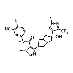 Cn1cc(C2(O)CC3CC(c4ncn(C)c4C(=O)Nc4ccc(F)c(C#N)c4)CC3C2)c(C(F)(F)F)n1